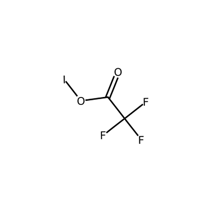 O=C(OI)C(F)(F)F